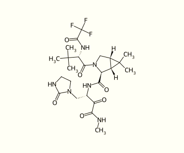 CNC(=O)C(=O)[C@H](CN1CCNC1=O)NC(=O)[C@@H]1[C@@H]2[C@H](CN1C(=O)[C@@H](NC(=O)C(F)(F)F)C(C)(C)C)C2(C)C